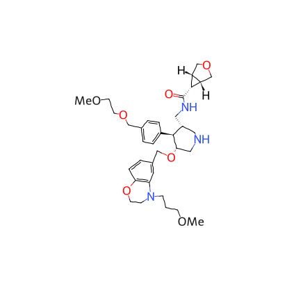 COCCCN1CCOc2ccc(CO[C@H]3CNC[C@@H](CNC(=O)[C@@H]4[C@@H]5COC[C@@H]54)[C@@H]3c3ccc(COCCOC)cc3)cc21